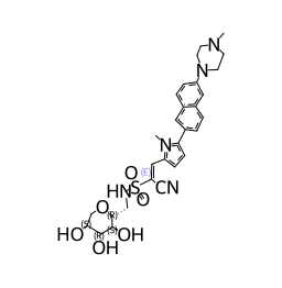 CN1CCN(c2ccc3cc(-c4ccc(/C=C(\C#N)S(=O)(=O)NC[C@H]5OC[C@H](O)[C@@H](O)[C@@H]5O)n4C)ccc3c2)CC1